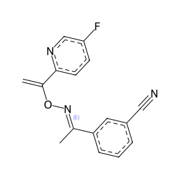 C=C(O/N=C(\C)c1cccc(C#N)c1)c1ccc(F)cn1